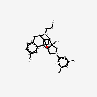 Cc1cc(C)nc(N2C[C@H]3CC45CCC2C3C42CCN(CCF)C5Cc3ccc(O)cc32)n1